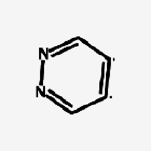 [c]1[c]cnnc1